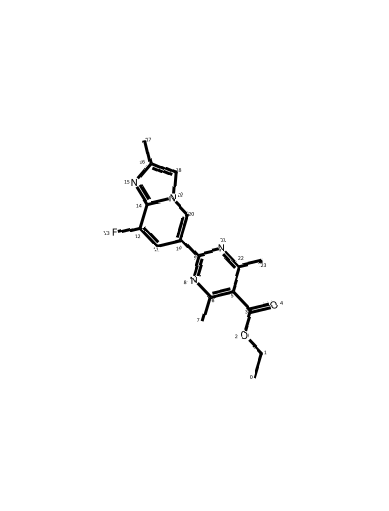 CCOC(=O)c1c(C)nc(-c2cc(F)c3nc(C)cn3c2)nc1C